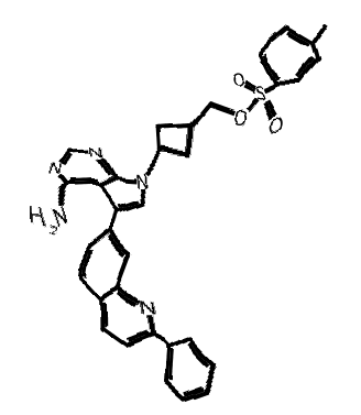 Cc1ccc(S(=O)(=O)OCC2CC(n3cc(-c4ccc5ccc(-c6ccccc6)nc5c4)c4c(N)ncnc43)C2)cc1